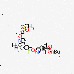 CCCCOC(=O)[C@H]1[C@@H]2Cc3cc(OCc4cc(-c5ccc(OC6CC(S(C)(=O)=O)C6)nc5C)c(C(F)(F)F)cc4F)ncc3[C@@H]21